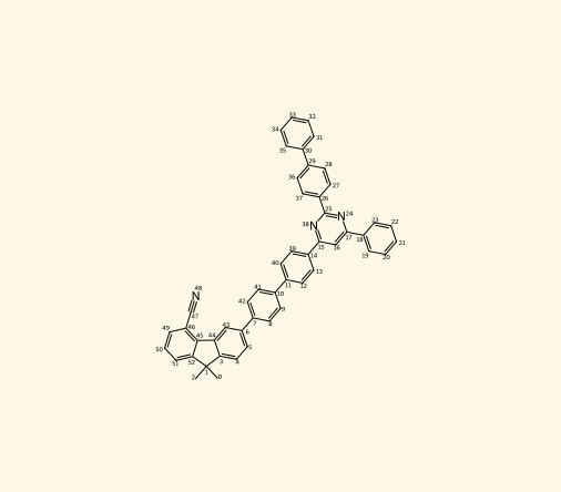 CC1(C)c2ccc(-c3ccc(-c4ccc(-c5cc(-c6ccccc6)nc(-c6ccc(-c7ccccc7)cc6)n5)cc4)cc3)cc2-c2c(C#N)cccc21